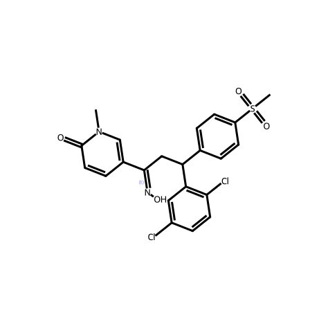 Cn1cc(/C(CC(c2ccc(S(C)(=O)=O)cc2)c2cc(Cl)ccc2Cl)=N/O)ccc1=O